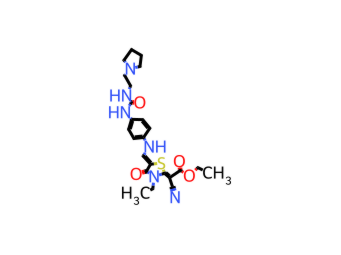 CCOC(=O)C(C#N)=c1sc(=CNc2ccc(NC(=O)NCCN3CCCC3)cc2)c(=O)n1CC